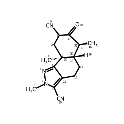 [C-]#[N+]C1C[C@]2(C)c3nn(C)c(C#N)c3CC[C@H]2[C@H](C)C1=O